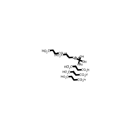 CCCCC(O)(O)O.O=C(O)CCC(=O)O.O=C(O)CCC(=O)O.O=C(O)CCC(=O)O.O=C(O)CCC(=O)O.O=C(O)CCC(=O)O